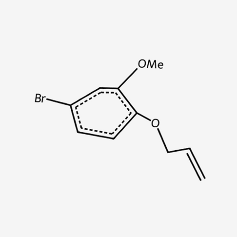 C=CCOc1ccc(Br)cc1OC